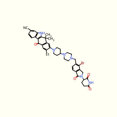 CCc1cc2c(cc1N1CCC(N3CCN(Cc4ccc5c(c4Br)CN(C4CCC(=O)NC4=O)C5=O)CC3)CC1)C(C)(C)c1[nH]c3cc(C#N)ccc3c1C2=O